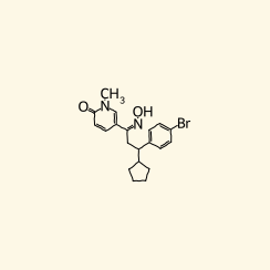 Cn1cc(C(CC(c2ccc(Br)cc2)C2CCCC2)=NO)ccc1=O